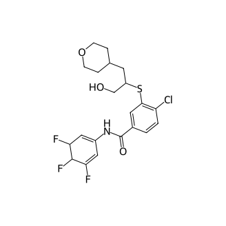 O=C(NC1=CC(F)C(F)C(F)=C1)c1ccc(Cl)c(SC(CO)CC2CCOCC2)c1